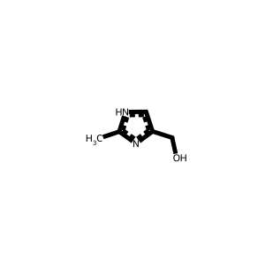 Cc1nc(CO)c[nH]1